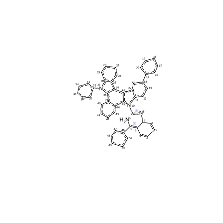 N/C(=C1/C=CC=CC1/N=C/n1c2ccc(-c3ccccc3)cc2c2c3c4ccccc4n(-c4ccccc4)c3c3ccccc3c21)c1ccccc1